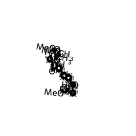 COC(=O)N[C@H](C(=O)N1CCCC1c1cc(=O)c2cc(-c3ccc4cc(-c5cnc([C@@H]6CCCN6C(=O)C[C@@H](C)OC)[nH]5)ccc4c3)ccc2[nH]1)C(C)(C)OC